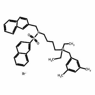 CC[N+](CC)(CCCCN(Cc1ccc2ccccc2c1)S(=O)(=O)c1ccc2ccccc2c1)Cc1cc(C)cc(C)c1.[Br-]